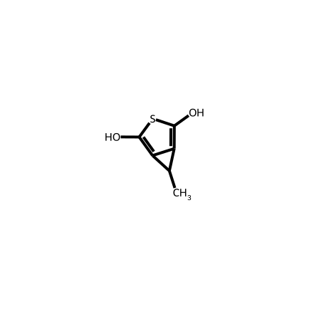 CC1c2c(O)sc(O)c21